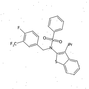 CC(C)c1c(N(Cc2ccc(F)c(C(F)(F)F)c2)S(=O)(=O)c2ccccc2)sc2ccccc12